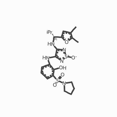 Cc1cc([C@H](Nc2n[s+]([O-])nc2Nc2cccc(S(=O)(=O)N3CCCC3)c2O)C(C)C)oc1C